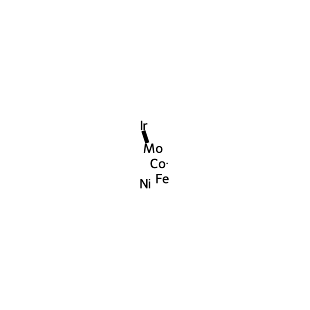 [Co].[Fe].[Mo][Ir].[Ni]